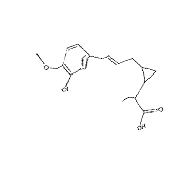 COc1ccc(C=CCC2CC2C(C)C(=O)O)cc1Cl